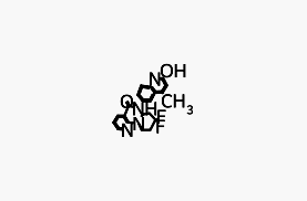 Cc1cc(O)nc2ccc(NC(=O)c3cccnc3N3CCC(F)(F)CC3)cc12